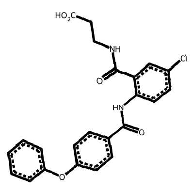 O=C(O)CCNC(=O)c1cc(Cl)ccc1NC(=O)c1ccc(Oc2ccccc2)cc1